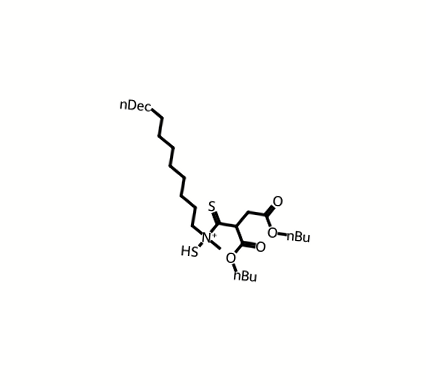 CCCCCCCCCCCCCCCCCC[N+](C)(S)C(=S)C(CC(=O)OCCCC)C(=O)OCCCC